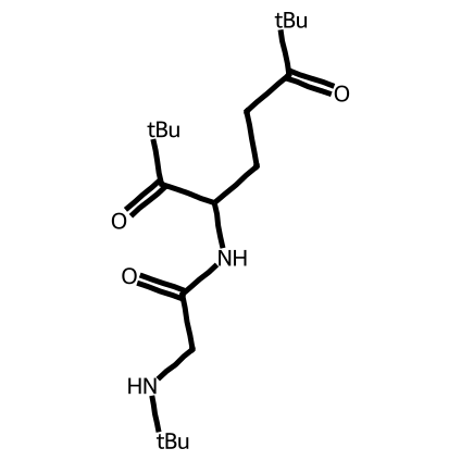 CC(C)(C)NCC(=O)NC(CCC(=O)C(C)(C)C)C(=O)C(C)(C)C